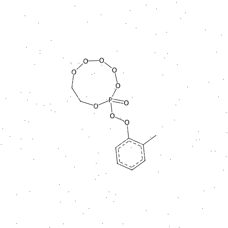 Cc1ccccc1OOP1(=O)OCCOOOOO1